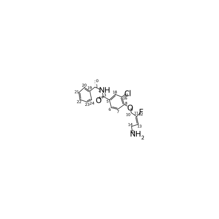 C[C@H](NC(=O)c1ccc(OC/C(F)=C\CN)c(Cl)c1)c1ccccc1